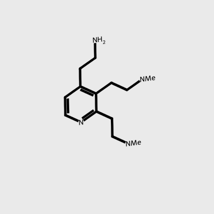 CNCCc1nccc(CCN)c1CCNC